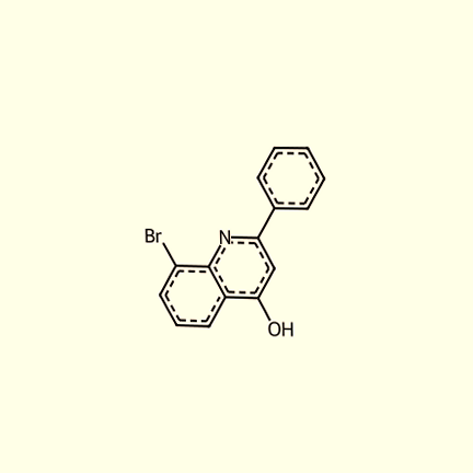 Oc1cc(-c2ccccc2)nc2c(Br)cccc12